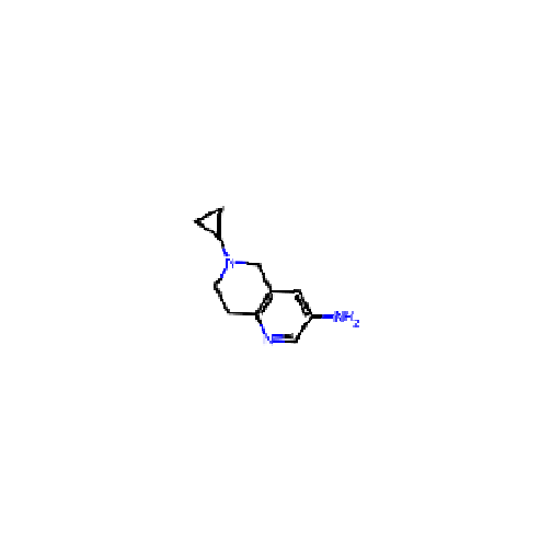 Nc1cnc2c(c1)CN(C1CC1)CC2